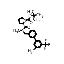 Cc1cc(-c2cccc(CN(C)C(=O)[C@@H]3CCCN3C(=O)OC(C)(C)C)c2)cc(C(F)(F)F)c1